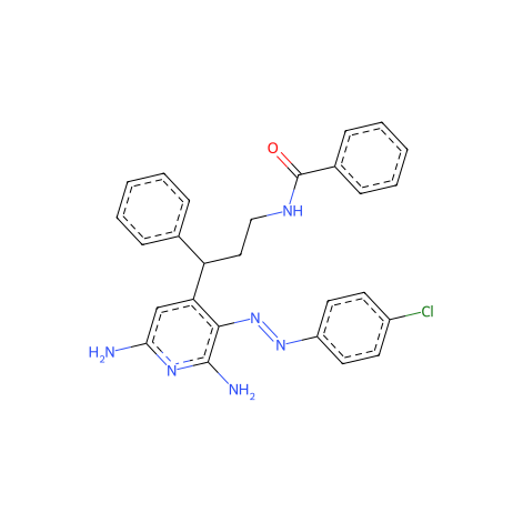 Nc1cc(C(CCNC(=O)c2ccccc2)c2ccccc2)c(N=Nc2ccc(Cl)cc2)c(N)n1